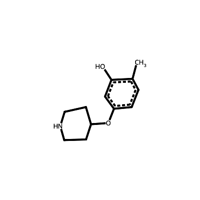 Cc1ccc(OC2CCNCC2)cc1O